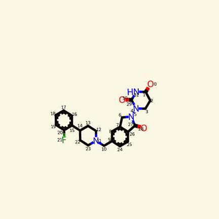 O=C1CCN(N2Cc3cc(CN4CCC(c5ccccc5F)CC4)ccc3C2=O)C(=O)N1